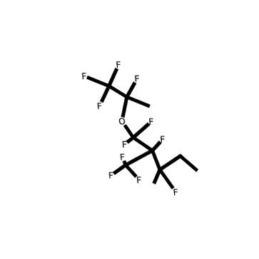 CCC(C)(F)C(F)(C(F)(F)F)C(F)(F)OC(C)(F)C(F)(F)F